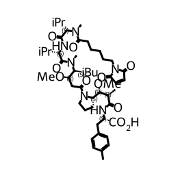 CC[C@H](C)C([C@@H](CC(=O)N1CCC[C@H]1[C@H](OC)[C@@H](C)C(=O)N[C@@H](Cc1ccc(C)cc1)C(=O)O)OC)N(C)C(=O)[C@@H](NC(=O)[C@H](C(C)C)N(C)C(=O)CCCCCN1C(=O)C=CC1=O)C(C)C